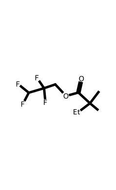 CCC(C)(C)C(=O)OCC(F)(F)C(F)F